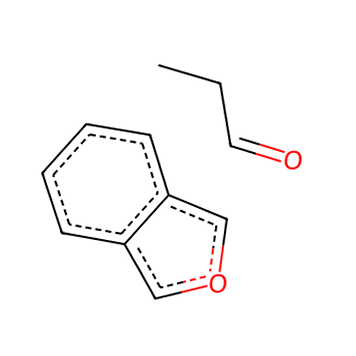 CCC=O.c1ccc2cocc2c1